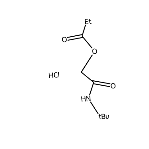 CCC(=O)OCC(=O)NC(C)(C)C.Cl